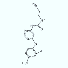 CN(CCC#N)C(=O)Nc1cc(Oc2ccc(N)cc2F)ccn1